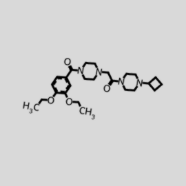 CCOc1ccc(C(=O)N2CCN(CC(=O)N3CCN(C4CCC4)CC3)CC2)cc1OCC